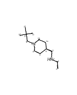 CCNCC1CCN(CC(C)(C)C)CC1